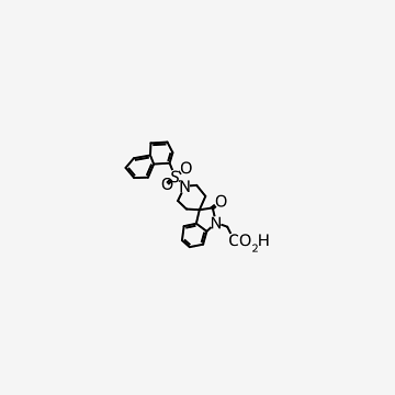 O=C(O)CN1C(=O)C2(CCN(S(=O)(=O)c3cccc4ccccc34)CC2)c2ccccc21